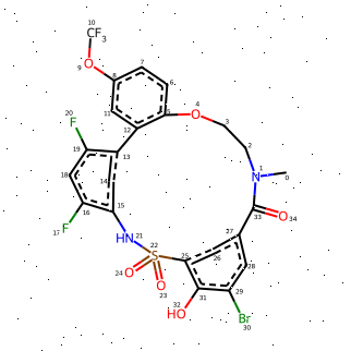 CN1CCOc2ccc(OC(F)(F)F)cc2-c2cc(c(F)cc2F)NS(=O)(=O)c2cc(cc(Br)c2O)C1=O